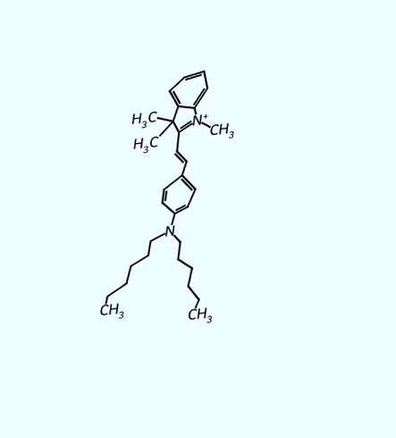 CCCCCCN(CCCCCC)c1ccc(/C=C/C2=[N+](C)c3ccccc3C2(C)C)cc1